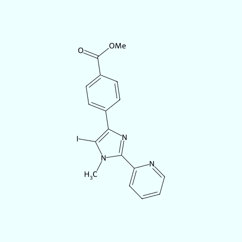 COC(=O)c1ccc(-c2nc(-c3ccccn3)n(C)c2I)cc1